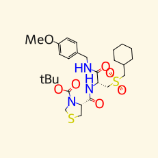 COc1ccc(CNC(=O)[C@H](CS(=O)(=O)CC2CCCCC2)NC(=O)[C@@H]2CSCN2C(=O)OC(C)(C)C)cc1